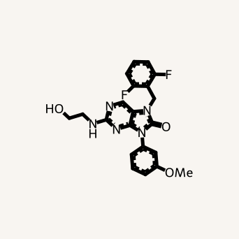 COc1cccc(-n2c(=O)n(Cc3c(F)cccc3F)c3cnc(NCCO)nc32)c1